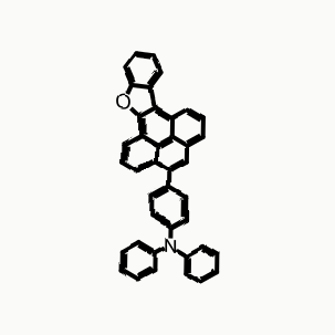 c1ccc(N(c2ccccc2)c2ccc(-c3cc4cccc5c6c7ccccc7oc6c6cccc3c6c45)cc2)cc1